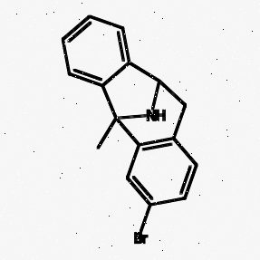 CC12NC(Cc3ccc(Br)cc31)c1ccccc12